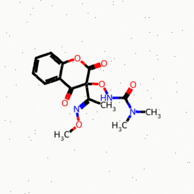 CON=C(C)C1(ONC(=O)N(C)C)C(=O)Oc2ccccc2C1=O